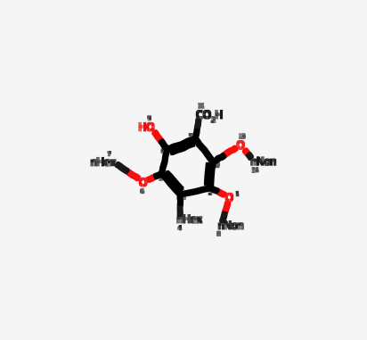 CCCCCCCCCOc1c(CCCCCC)c(OCCCCCC)c(O)c(C(=O)O)c1OCCCCCCCCC